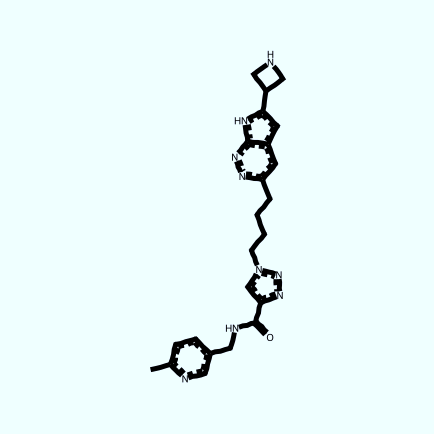 Cc1ccc(CNC(=O)c2cn(CCCCc3cc4cc(C5CNC5)[nH]c4nn3)nn2)cn1